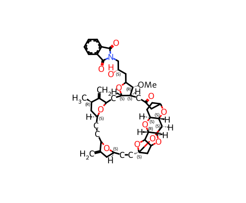 C=C1C[C@@H]2CC[C@@]34CC5O[C@H]6[C@@H](O3)[C@H]3OC(CC[C@@H]3O[C@H]6C5O4)CC(=O)C[C@H]3[C@H](CC4O[C@@H](CCC1O2)C[C@@H](C)C4=C)OC(C[C@H](O)CN1C(=O)c2ccccc2C1=O)[C@@H]3OC